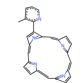 Cc1cccnc1C1=CC2=CC3=NC(=CC4=NC(=CC5=NC(=CC1=N2)C=C5)C=C4)C=C3